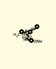 CCN(Nc1ccc(OC)cc1)C(=O)C(NC(=O)c1cccc(C)c1)c1ccc(OCc2ccccc2)cc1